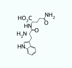 NC(=O)CC[C@H](NC(=O)[C@@H](N)Cc1c[nH]c2ccccc12)C(=O)O